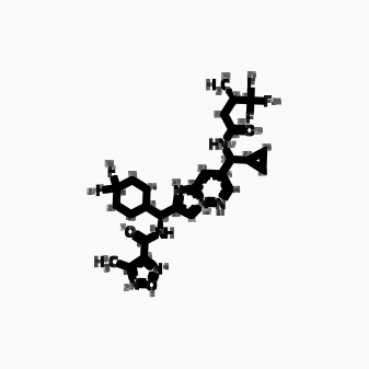 Cc1nonc1C(=O)N[C@H](c1cn2ncc(C(NC(=O)C[C@@H](C)C(F)(F)F)C3CC3)cc2n1)C1CCC(F)(F)CC1